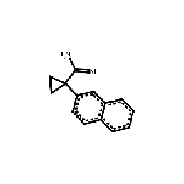 N=C(N)C1(c2ccc3ccccc3c2)CC1